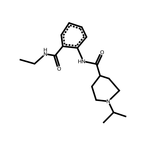 CCNC(=O)c1ccccc1NC(=O)C1CCN(C(C)C)CC1